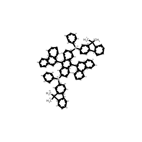 CC1(C)c2ccccc2-c2ccc(N(c3ccccc3)c3ccc4c(-c5cc6ccccc6c6ccccc56)c5cc(N(c6ccccc6)c6ccc7c(c6)C(C)(C)c6ccccc6-7)ccc5c(-c5cc6ccccc6c6ccccc56)c4c3)cc21